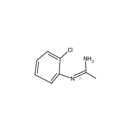 C/C(N)=N/c1ccccc1Cl